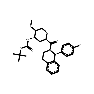 CSC1CO[C@@H](C(=O)N2CCc3ccccc3[C@@H]2c2ccc(F)cc2)C[C@@H]1NC(=O)OC(C)(C)C